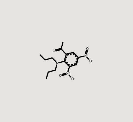 CCCN(CCC)c1c(C(C)=O)cc([N+](=O)[O-])cc1[N+](=O)[O-]